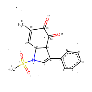 CS(=O)(=O)N1C=C(c2ccccc2)C2C(=O)C(=O)C(C(F)(F)F)=CC21